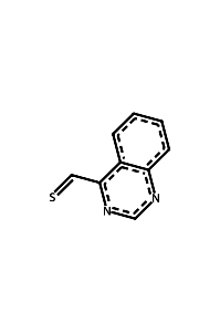 S=Cc1ncnc2ccccc12